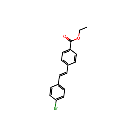 CCOC(=O)c1ccc(/C=C/c2ccc(Br)cc2)cc1